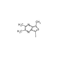 Cc1nc2c(C)sc(I)c2nc1C